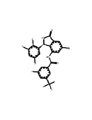 O=C(Nc1cc(Br)cc2c1[C@@H](c1cc(F)cc(F)c1Cl)NC2=O)c1cc(F)cc(C(F)(F)F)c1